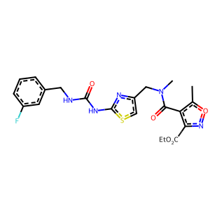 CCOC(=O)c1noc(C)c1C(=O)N(C)Cc1csc(NC(=O)NCc2cccc(F)c2)n1